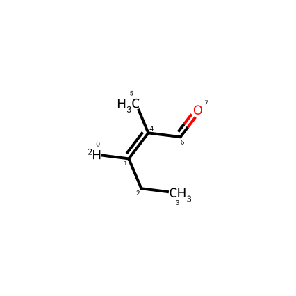 [2H]C(CC)=C(C)C=O